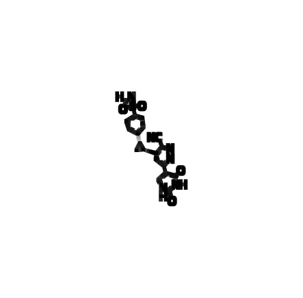 N#Cc1nnc(-c2c[nH]c(=O)[nH]c2=O)cc1[C@H]1C[C@@H]1c1ccc(S(N)(=O)=O)cc1